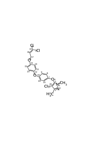 Cc1nn(C)c(Oc2ccc(Oc3ccc(OCC=C(Cl)Cl)cc3)cc2)c1Cl